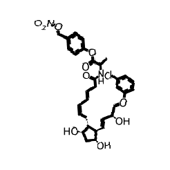 CC(NC(=O)CCC/C=C\C[C@@H]1[C@@H](/C=C/[C@@H](O)COc2cccc(Cl)c2)[C@H](O)C[C@@H]1O)C(=O)Oc1ccc(CO[N+](=O)[O-])cc1